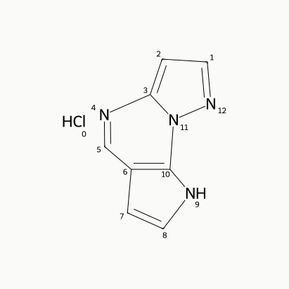 Cl.c1cc2ncc3cc[nH]c3n2n1